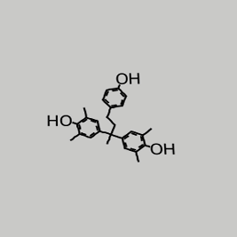 Cc1cc(C(C)(CCc2ccc(O)cc2)c2cc(C)c(O)c(C)c2)cc(C)c1O